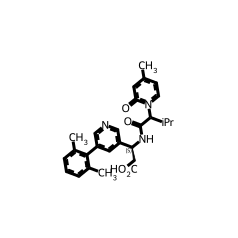 Cc1ccn(C(C(=O)N[C@@H](CC(=O)O)c2cncc(-c3c(C)cccc3C)c2)C(C)C)c(=O)c1